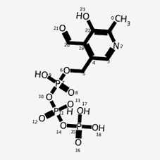 Cc1ncc(COP(=O)(O)OP(=O)(O)OP(=O)(O)O)c(C=O)c1O